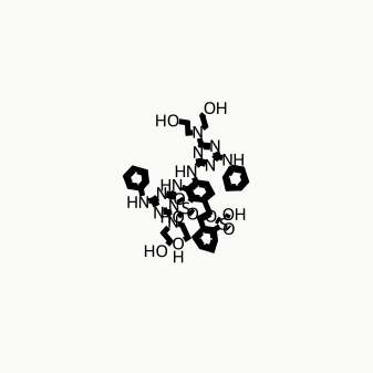 O=S(=O)(O)c1ccccc1C=Cc1ccc(Nc2nc(Nc3ccccc3)nc(N(CCO)CCO)n2)c(Nc2nc(Nc3ccccc3)nc(N(CCO)CCO)n2)c1S(=O)(=O)O